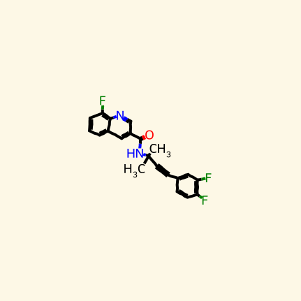 CC(C)(C#Cc1ccc(F)c(F)c1)NC(=O)c1cnc2c(F)cccc2c1